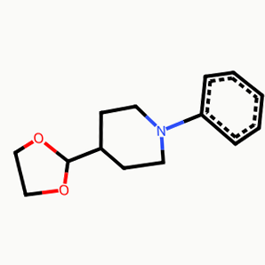 c1ccc(N2CCC(C3OCCO3)CC2)cc1